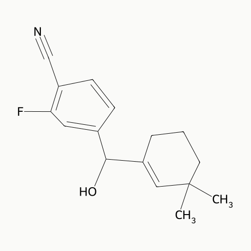 CC1(C)C=C(C(O)c2ccc(C#N)c(F)c2)CCC1